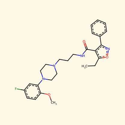 CCc1onc(-c2ccccc2)c1C(=O)NCCCN1CCN(c2cc(F)ccc2OC)CC1